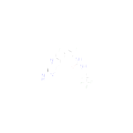 CNc1cc2nc(C)c(-c3cc(NC(=O)NCCC(C)(C)C(F)(F)F)c(F)cc3F)cc2cn1